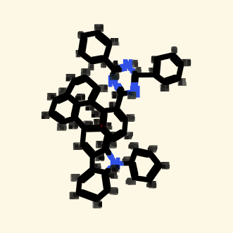 c1ccc(-c2nc(-c3ccccc3)nc(-c3ccccc3-c3cccc4cccc(-c5ccc6c(c5)c5ccccc5n6-c5ccccc5)c34)n2)cc1